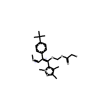 C/N=C\C(=C(\OCOC(=O)CF)c1c(C)c(C)nn1C)c1ccc(C(C)(C)C)cc1